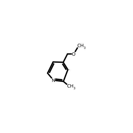 COCc1[c]c(C)ncc1